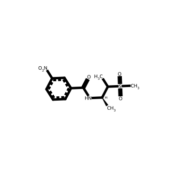 CC([C@@H](C)NC(=O)c1cccc([N+](=O)[O-])c1)S(C)(=O)=O